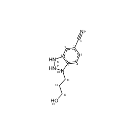 N#Cc1ccc2c(c1)NNN2CCCO